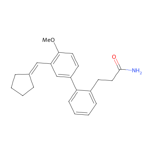 COc1ccc(-c2ccccc2CCC(N)=O)cc1C=C1CCCC1